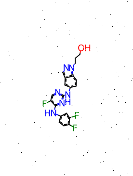 OCCCn1ncc2cc(Nc3ncc(F)c(Nc4ccc(F)c(F)c4)n3)ccc21